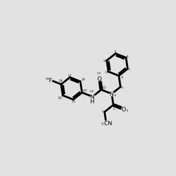 N#CCC(=O)N(Cc1ccccc1)C(=O)Nc1ccc(F)cc1